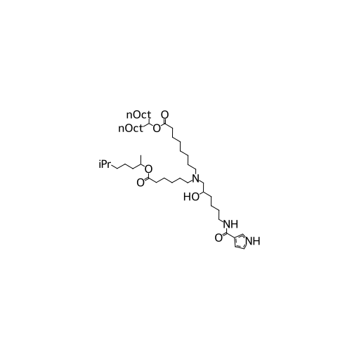 CCCCCCCCC(CCCCCCCC)OC(=O)CCCCCCCN(CCCCCC(=O)OC(C)CCCC(C)C)CC(O)CCCCNC(=O)c1cc[nH]c1